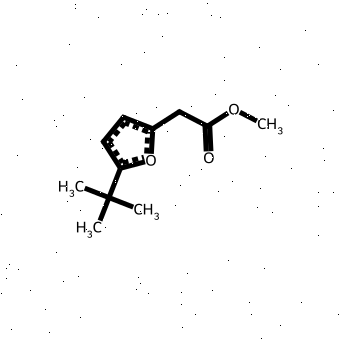 COC(=O)Cc1ccc(C(C)(C)C)o1